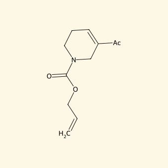 C=CCOC(=O)N1CCC=C(C(C)=O)C1